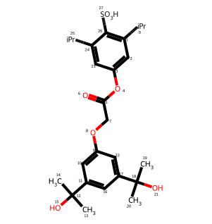 CC(C)c1cc(OC(=O)COc2cc(C(C)(C)O)cc(C(C)(C)O)c2)cc(C(C)C)c1S(=O)(=O)O